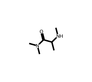 CNC(C)C(=O)N(C)C